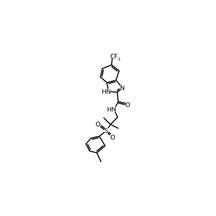 Cc1cccc(S(=O)(=O)C(C)(C)CNC(=O)c2nc3cc(C(F)(F)F)ccc3[nH]2)c1